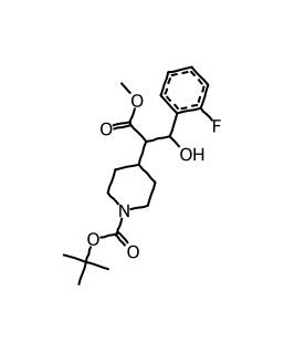 COC(=O)C(C1CCN(C(=O)OC(C)(C)C)CC1)C(O)c1ccccc1F